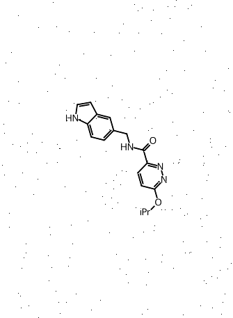 CC(C)Oc1ccc(C(=O)NCc2ccc3[nH]ccc3c2)nn1